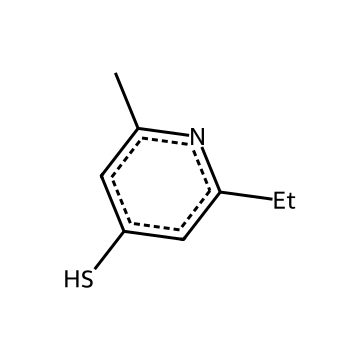 CCc1cc(S)cc(C)n1